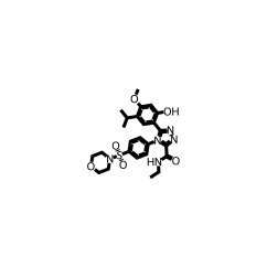 CCNC(=O)c1nnc(-c2cc(C(C)C)c(OC)cc2O)n1-c1ccc(S(=O)(=O)N2CCOCC2)cc1